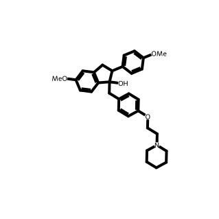 COc1ccc(C2Cc3cc(OC)ccc3C2(O)Cc2ccc(OCCN3CCCCC3)cc2)cc1